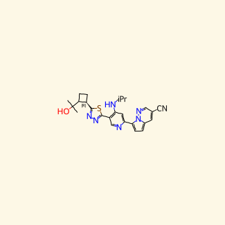 CC(C)Nc1cc(-c2ccc3cc(C#N)cnn23)ncc1-c1nnc([C@@H]2CCC2C(C)(C)O)s1